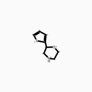 c1csc(C2CNCCO2)c1